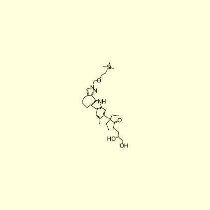 CCC(CC)(C(=O)CCC(O)CO)c1cc2[nH]c3c(c2cc1C)CCCc1cn(COCC[Si](C)(C)C)nc1-3